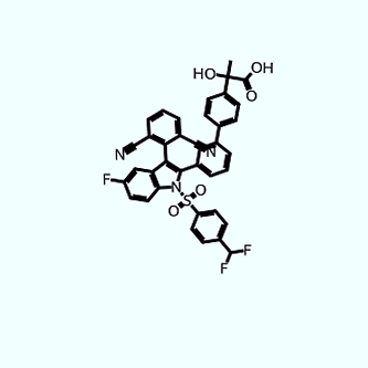 CC(O)(C(=O)O)c1ccc(-c2cccc(-c3c(-c4c(C#N)cccc4C#N)c4cc(F)ccc4n3S(=O)(=O)c3ccc(C(F)F)cc3)c2)cc1